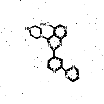 COc1cncc2nc(-c3ccnc(-c4ncccn4)c3)nc(N3CCNCC3)c12